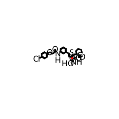 O=C(C[C@]1(c2ccc(-c3cccc(NC(=O)COc4ccc(Cl)cc4)c3)s2)CCCCS1(=O)=O)NO